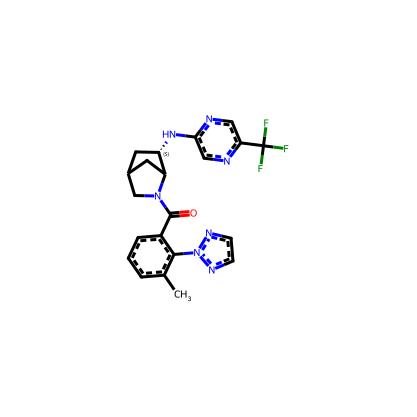 Cc1cccc(C(=O)N2CC3CC2[C@@H](Nc2cnc(C(F)(F)F)cn2)C3)c1-n1nccn1